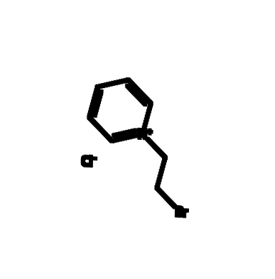 BrCC[n+]1ccccc1.[Cl-]